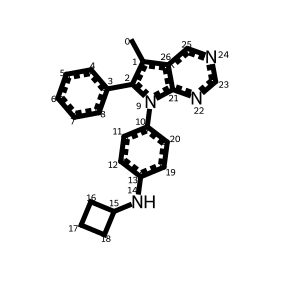 Cc1c(-c2ccccc2)n(-c2ccc(NC3CCC3)cc2)c2ncncc12